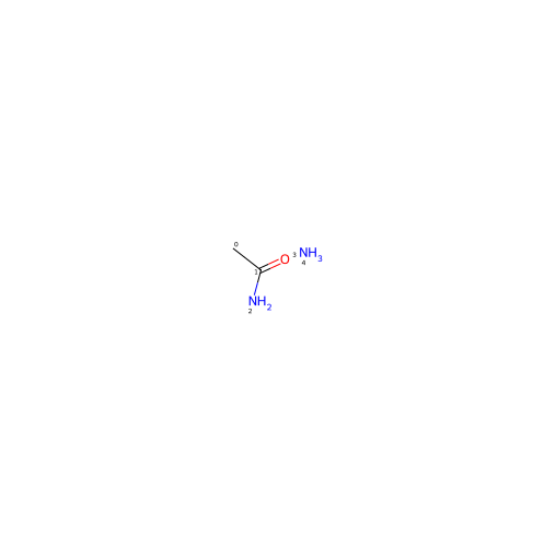 CC(N)=O.N